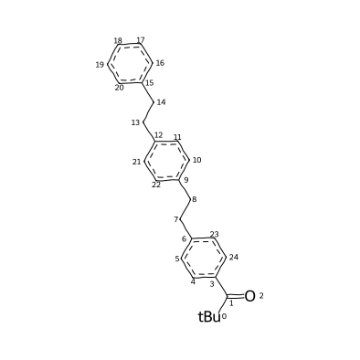 CC(C)(C)C(=O)c1ccc(CCc2ccc(CCc3ccccc3)cc2)cc1